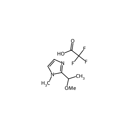 COC(C)c1nccn1C.O=C(O)C(F)(F)F